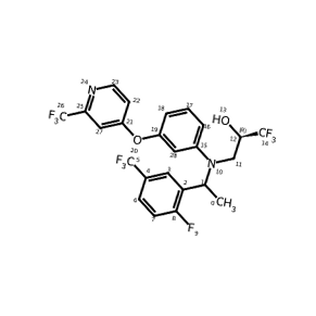 CC(c1cc(C(F)(F)F)ccc1F)N(C[C@@H](O)C(F)(F)F)c1cccc(Oc2ccnc(C(F)(F)F)c2)c1